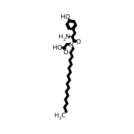 CCCCCCCCCCCCCCCCCCN(CC(=O)O)C(=O)[C@@H](N)Cc1ccc(O)cc1